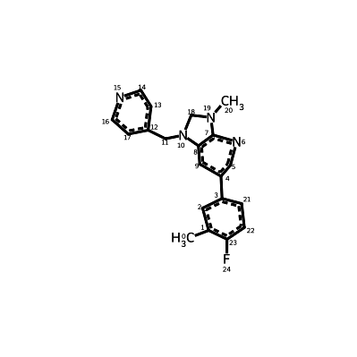 Cc1cc(-c2cnc3c(c2)N(Cc2ccncc2)CN3C)ccc1F